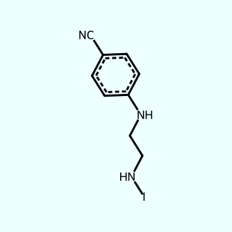 N#Cc1ccc(NCCNI)cc1